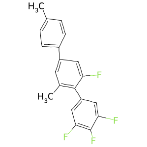 Cc1ccc(-c2cc(C)c(-c3cc(F)c(F)c(F)c3)c(F)c2)cc1